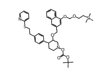 CC(C)(C)OC(=O)ON1CCC(c2ccc(CCSc3ccccn3)cc2)C(OCc2cc(OCOCC[Si](C)(C)C)c3ccccc3c2)C1